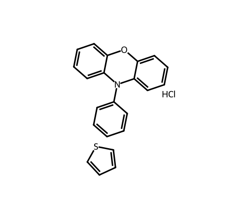 Cl.c1ccc(N2c3ccccc3Oc3ccccc32)cc1.c1ccsc1